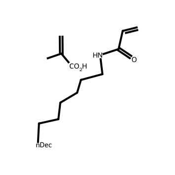 C=C(C)C(=O)O.C=CC(=O)NCCCCCCCCCCCCCCCC